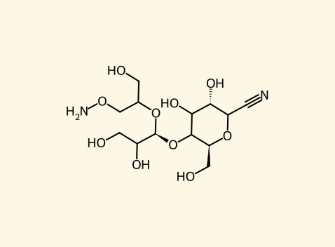 N#CC1O[C@@H](CO)C(O[C@H](OC(CO)CON)C(O)CO)C(O)[C@@H]1O